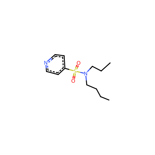 CCCCN(CCC)S(=O)(=O)c1ccncc1